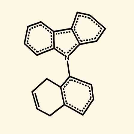 C1=CCc2c(cccc2-n2c3ccccc3c3ccccc32)C1